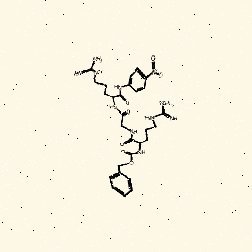 N=C(N)NCCC[C@H](NC(=O)CNC(=O)[C@@H](CCCNC(=N)N)NC(=O)OCc1ccccc1)C(=O)Nc1ccc([N+](=O)[O-])cc1